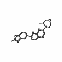 Cc1nc2cc(-c3ccc4ncc(N5CCOC[C@H]5C)nc4n3)ccc2o1